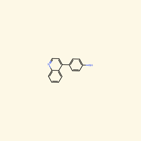 [NH]c1ccc(-c2ccnc3ccccc23)cc1